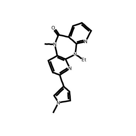 CCN1c2ncccc2C(=O)N(C)c2ccc(-c3ccn(C)c3)nc21